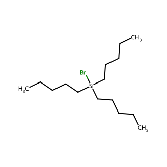 CCCCC[Si](Br)(CCCCC)CCCCC